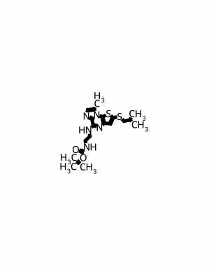 Cc1cnc2c(NCCNC(=O)OC(C)(C)C)nc3cc(SCC(C)C)sc3n12